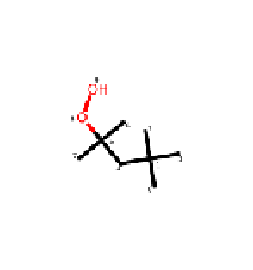 CC(C)(C)CC(C)(C)OO